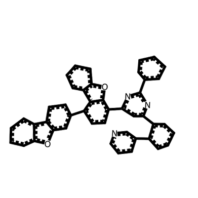 c1ccc(-c2nc(-c3ccccc3-c3cccnc3)cc(-c3ccc(-c4ccc5c(c4)oc4ccccc45)c4c3oc3ccccc34)n2)cc1